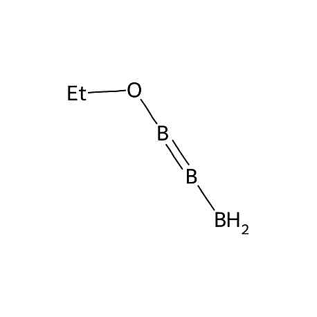 BB=BOCC